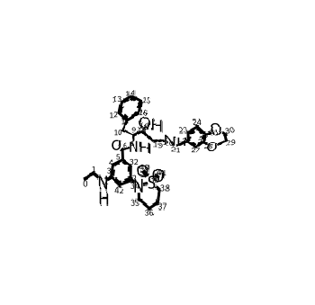 CCNc1cc(C(=O)N[C@@H](Cc2ccccc2)[C@H](O)CNCc2ccc3c(c2)OCCO3)cc(N2CCCCS2(=O)=O)c1